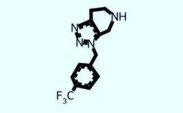 FC(F)(F)c1ccc(Cn2nnc3c2CNCC3)cc1